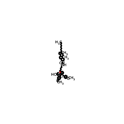 CCCCCCCCC1CCC2C3CC=C4CC(OC(=O)NCCCCCCN5CC(O)CC5C(OCc5ccc(OC)cc5)(c5ccccc5)c5ccc(OC)cc5)CCC4(C)C3CCC12C